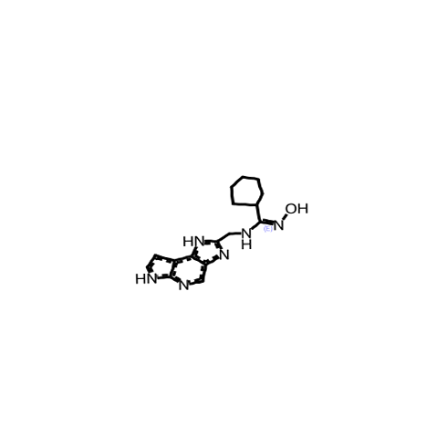 O/N=C(/NCc1nc2cnc3[nH]ccc3c2[nH]1)C1CCCCC1